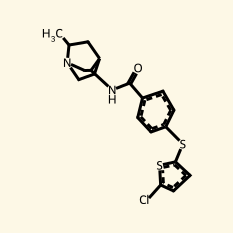 CC1CC2CCN1CC2NC(=O)c1ccc(Sc2ccc(Cl)s2)cc1